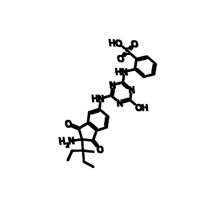 CCC(C)(CC)C1(N)C(=O)c2ccc(Nc3nc(O)nc(Nc4ccccc4S(=O)(=O)O)n3)cc2C1=O